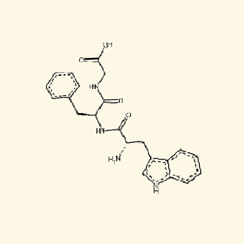 N[C@@H](Cc1c[nH]c2ccccc12)C(=O)N[C@@H](Cc1ccccc1)C(=O)NCC(=O)O